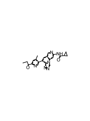 CCC(=O)c1cc(C)c(-c2cc3cnc(NC(=O)C4CC4)cc3n3cnnc23)cn1